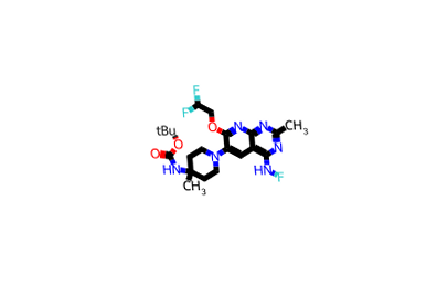 Cc1nc(NF)c2cc(N3CCC(C)(NC(=O)OC(C)(C)C)CC3)c(OCC(F)F)nc2n1